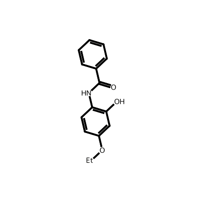 CCOc1ccc(NC(=O)c2ccccc2)c(O)c1